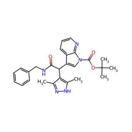 Cc1n[nH]c(C)c1C(C(=O)NCc1ccccc1)c1cn(C(=O)OC(C)(C)C)c2ncccc12